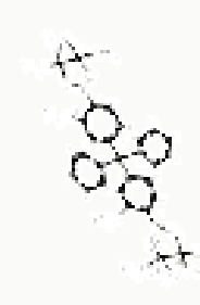 Cc1cc(C(c2ccccc2)(c2ccccc2)c2ccc(B3OC(C)(C)C(C)(C)O3)c(C)c2)ccc1B1OC(C)(C)C(C)(C)O1